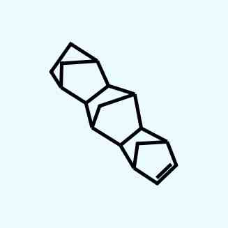 C1=CC2CC1C1C3CC(C21)C1C2CCC(C2)C31